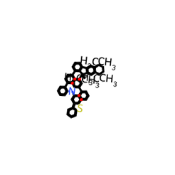 CC1(C)CCC(C)(C)c2cc3c(cc21)-c1cccc(-c2ccc(-c4ccccc4N(c4ccc5sc6ccccc6c5c4)c4ccccc4-c4ccccc4)cc2)c1C3(C)C